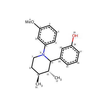 COc1cccc(N2CC[C@H](C)[C@@H](C)C2c2cccc(O)c2)c1